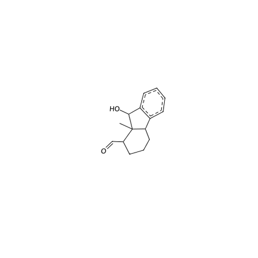 CC12C(C=O)CCCC1c1ccccc1C2O